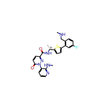 CNCc1ccc(F)cc1-c1ccc([C@@H](C)NC(=O)c2ccc(=O)n(-c3cccnc3NC)n2)s1